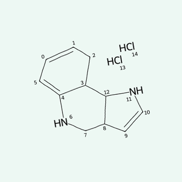 C1=CCC2C(=C1)NCC1C=CNC12.Cl.Cl